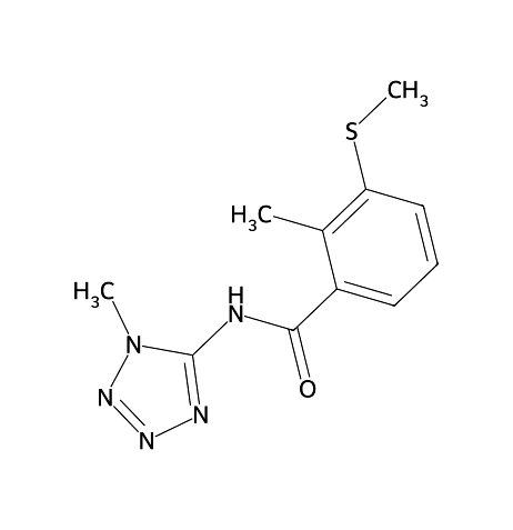 CSc1cccc(C(=O)Nc2nnnn2C)c1C